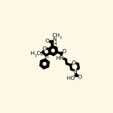 CNC(=O)c1cc(C(=O)NCCC2CN(C(=O)O)CCO2)cc2c1O[C@H](C)[C@H]2c1ccccc1